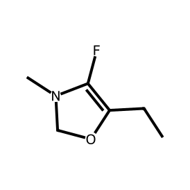 CCC1=C(F)N(C)CO1